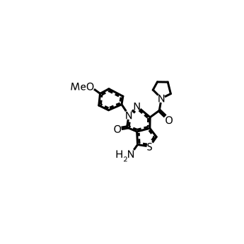 COc1ccc(-n2nc(C(=O)N3CCCC3)c3csc(N)c3c2=O)cc1